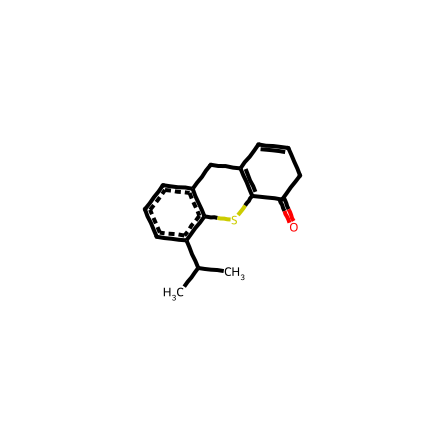 CC(C)c1cccc2c1SC1=C(C=CCC1=O)C2